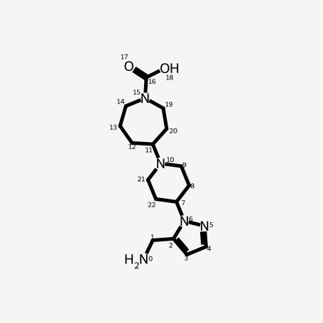 NCc1ccnn1C1CCN(C2CCCN(C(=O)O)CC2)CC1